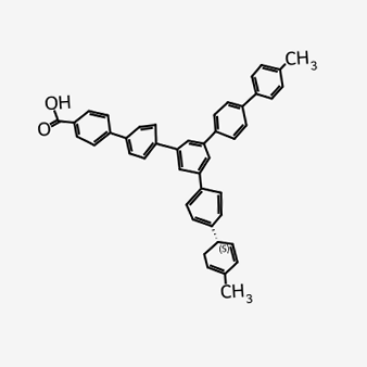 CC1=CC[C@H](c2ccc(-c3cc(-c4ccc(-c5ccc(C)cc5)cc4)cc(-c4ccc(-c5ccc(C(=O)O)cc5)cc4)c3)cc2)C=C1